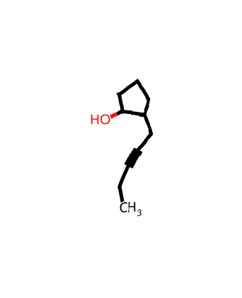 CCC#CCC1CCCC1O